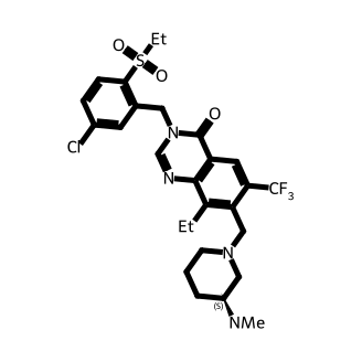 CCc1c(CN2CCC[C@H](NC)C2)c(C(F)(F)F)cc2c(=O)n(Cc3cc(Cl)ccc3S(=O)(=O)CC)cnc12